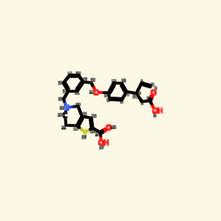 C=C[C@@H](CC(=O)O)c1ccc(OCc2cccc(CN3CCc4sc(C(=O)O)cc4C3)c2)cc1